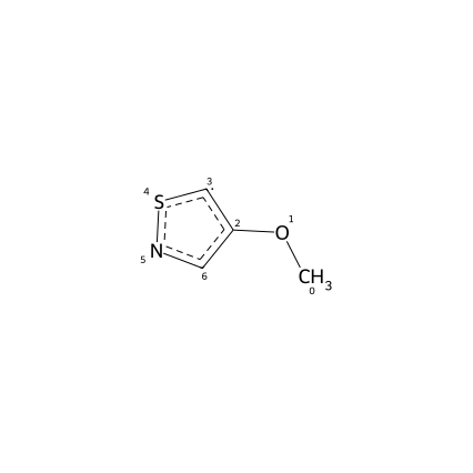 COc1[c]snc1